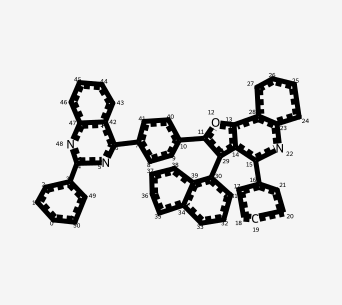 c1ccc(-c2nc(-c3ccc(-c4oc5c(c(-c6ccccc6)nc6ccccc65)c4-c4cccc5ccccc45)cc3)c3ccccc3n2)cc1